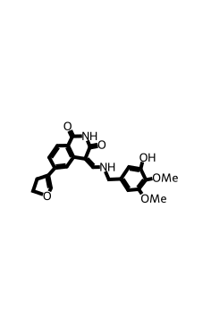 COc1cc(CN/C=C2\C(=O)NC(=O)c3ccc(C4=COCC4)cc32)cc(O)c1OC